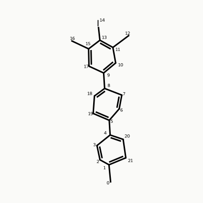 Cc1ccc(-c2ccc(-c3cc(C)c(I)c(C)c3)cc2)cc1